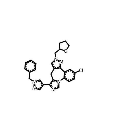 Clc1ccc2c(c1)-c1nn(CC3CCCO3)cc1Cc1c(-c3cnn(Cc4ccccc4)c3)ncn1-2